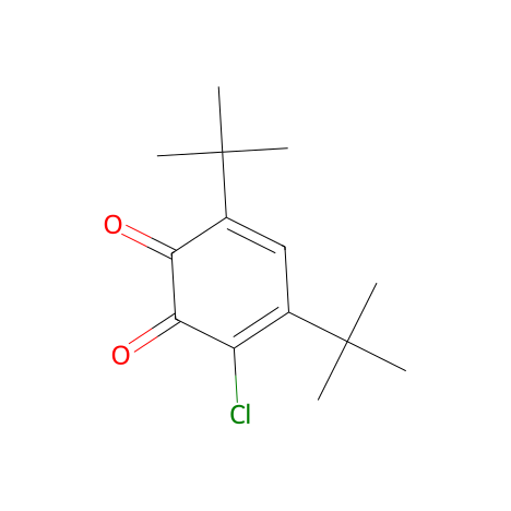 CC(C)(C)C1=CC(C(C)(C)C)=C(Cl)C(=O)C1=O